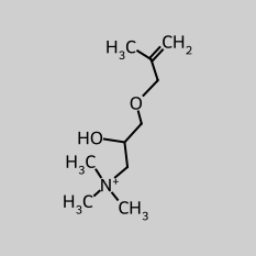 C=C(C)COCC(O)C[N+](C)(C)C